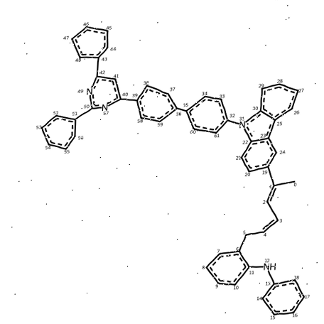 C/C(=C\C=C/Cc1ccccc1Nc1ccccc1)c1ccc2c(c1)c1ccccc1n2-c1ccc(-c2ccc(-c3cc(-c4ccccc4)nc(-c4ccccc4)n3)cc2)cc1